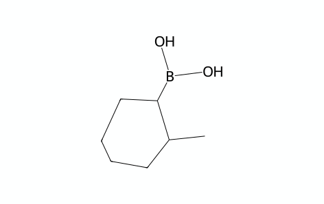 CC1CCCCC1B(O)O